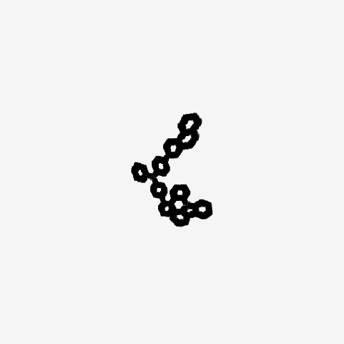 c1ccc(N(c2ccc(-c3ccc4c(ccc5ccccc54)c3)cc2)c2ccc(-c3ccccc3-c3ccccc3-n3c4ccccc4c4ccccc43)cc2)cc1